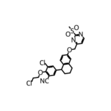 CS(=O)(=O)c1nccc(COc2ccc3c(c2)CCCC3c2cc(Cl)c(OCCCl)c(C#N)c2)n1